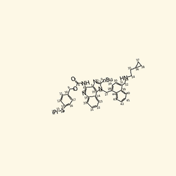 CCCCc1nc2c(NC(=O)OCc3ccc(SC(C)C)cc3)nc3ccccc3c2n1Cc1ccc(CNCCC2CC2)c2ccccc12